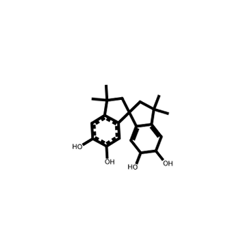 CC1(C)CC2(CC(C)(C)c3cc(O)c(O)cc32)C2=CC(O)C(O)C=C21